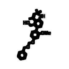 COc1cc(OCOCc2ccccc2)ccc1-c1ccc2c(c1CO)C(C)=CC(C)(C)N2